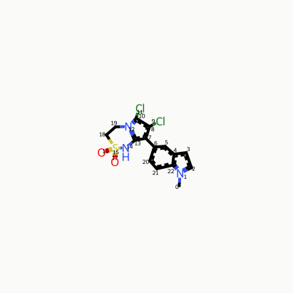 Cn1ccc2cc(-c3c(Cl)c(Cl)n4c3NS(=O)(=O)CC4)ccc21